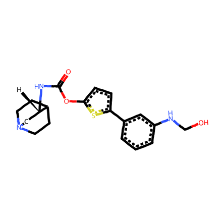 O=C(N[C@H]1CN2CCC1CC2)Oc1ccc(-c2cccc(NCO)c2)s1